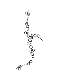 C=CC(=O)OCCCCCCOc1ccc(CCOC(=O)c2ccc3c(c2)c(Oc2ccc(OCCCCCC)cc2)nc2cc(OC(=O)C4CCC(C(=O)Oc5ccc(OCCc6ccc(OCCCCCCOC(=O)C=C)cc6)cc5)CC4)ccc23)cc1